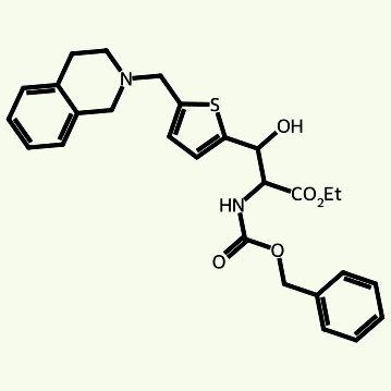 CCOC(=O)C(NC(=O)OCc1ccccc1)C(O)c1ccc(CN2CCc3ccccc3C2)s1